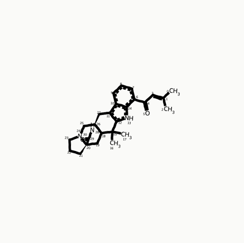 CC(C)=CC(=O)c1cccc2c3c([nH]c12)C(C)(C)C1C[C@]24CCCN2C[C@@]1(C3)NC4=O